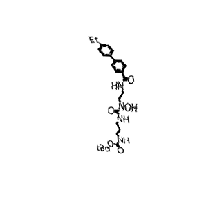 CCc1ccc(-c2ccc(C(=O)NCCN(O)C(=O)NCCCNC(=O)OC(C)(C)C)cc2)cc1